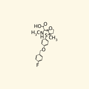 CNC(C(=O)O)[C@H]1OCC[C@@]1(C)Sc1ccc(OCc2ccc(F)cc2)cc1